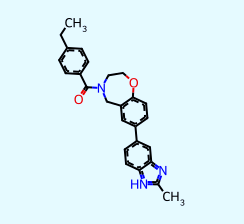 CCc1ccc(C(=O)N2CCOc3ccc(-c4ccc5[nH]c(C)nc5c4)cc3C2)cc1